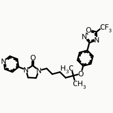 CC(C)(CCCCN1CCN(c2ccncc2)C1=O)Oc1ccc(-c2noc(C(F)(F)F)n2)cc1